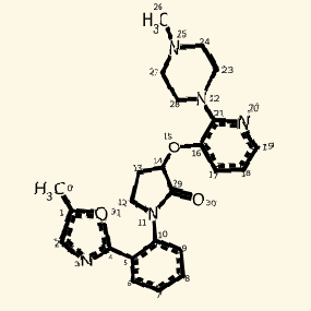 Cc1cnc(-c2ccccc2N2CCC(Oc3cccnc3N3CCN(C)CC3)C2=O)o1